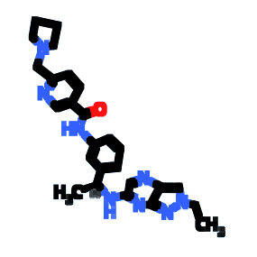 CCn1cc2ncc(N[C@@H](C)c3cccc(NC(=O)c4ccc(CN5CCCC5)nc4)c3)nc2n1